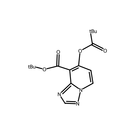 CC(C)(C)OC(=O)c1c(OC(=O)C(C)(C)C)ccn2ncnc12